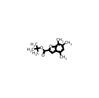 Cc1cc(C)c2cc(C(=O)OC(C)(C)C)oc2c1C